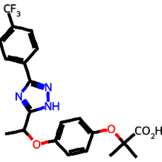 CC(Oc1ccc(OC(C)(C)C(=O)O)cc1)c1nc(-c2ccc(C(F)(F)F)cc2)n[nH]1